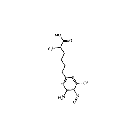 Nc1nc(CCCCC(N)C(=O)O)nc(O)c1N=O